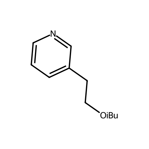 CC(C)COCCc1cccnc1